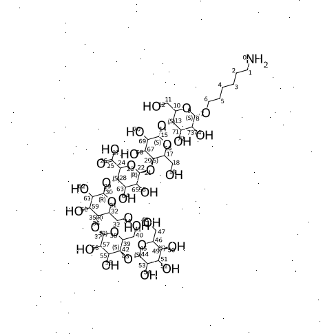 NCCCCCCO[C@H]1OC(CO)[C@@H](O[C@@H]2OC(CO)[C@@H](O[C@@H]3OC(C(=O)O)[C@@H](O[C@H]4OC(CO)[C@H](O[C@H]5OC(CO)[C@@H](O[C@@H]6OC(CO)[C@@H](O)C(O)C6O)C(O)C5O)C(O)C4O)C(O)C3O)C(O)C2O)C(O)C1O